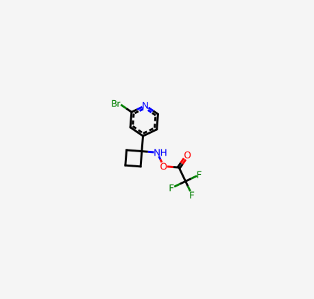 O=C(ONC1(c2ccnc(Br)c2)CCC1)C(F)(F)F